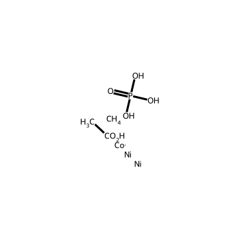 C.CC(=O)O.O=P(O)(O)O.[Co].[Ni].[Ni]